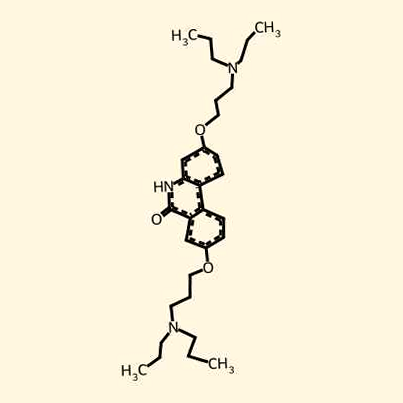 CCCN(CCC)CCCOc1ccc2c(c1)[nH]c(=O)c1cc(OCCCN(CCC)CCC)ccc12